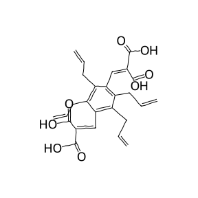 C=CCc1c(C=C(C(=O)O)C(=O)O)c(CC=C)c(CC=C)c(C=C(C(=O)O)C(=O)O)c1CC=C